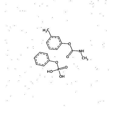 CNC(=O)Oc1cccc(C)c1.O=P(O)(O)Oc1ccccc1